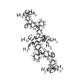 CCc1nc2c(-c3ccc(N(c4ccccc4)c4ccc(C(=O)c5ccc(C(C)(C)C)cc5)cc4)cc3)c3nn(CC(C)C)nc3c(-c3ccc(N(c4ccccc4)c4ccc(C(=O)c5ccc(C(C)(C)C)cc5)cc4)cc3)c2nc1CC